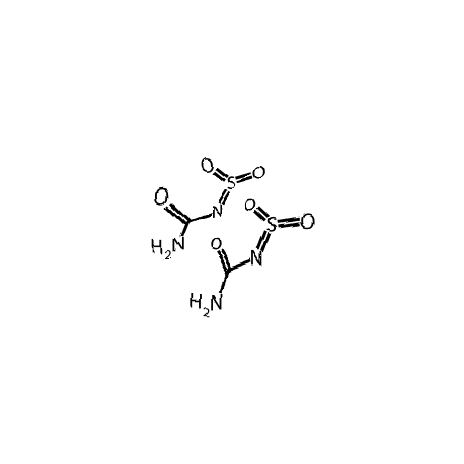 NC(=O)N=S(=O)=O.NC(=O)N=S(=O)=O